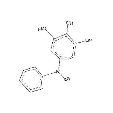 CCCN(c1ccccc1)c1cc(O)c(O)c(O)c1